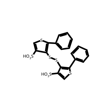 O=S(=O)(O)c1csc(-c2ccccc2)c1SSc1c(S(=O)(=O)O)csc1-c1ccccc1